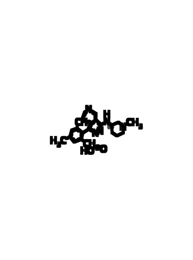 Cc1cc(C)c(-c2nnc(N[C@@H]3CCCN(C)C3)c3cnccc23)c(C)c1.O=CO